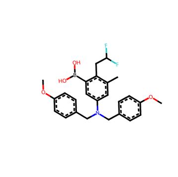 COc1ccc(CN(Cc2ccc(OC)cc2)c2cc(C)c(CC(F)F)c(B(O)O)c2)cc1